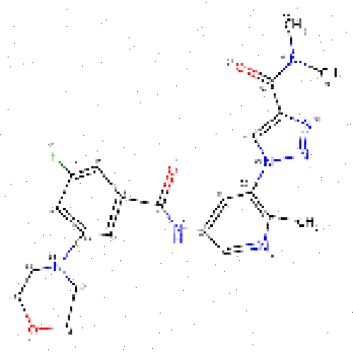 Cc1ncc(NC(=O)c2cc(F)cc(N3CCOCC3)c2)cc1-n1cc(C(=O)N(C)C)nn1